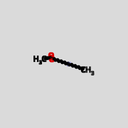 CC#CC(=O)OCCCCCCCC/C=C/CCCCCCCC